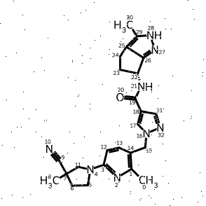 Cc1nc(N2CCC(C)(C#N)C2)ccc1Cn1cc(C(=O)N[C@@H]2CCc3c2n[nH]c3C)cn1